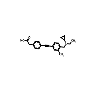 CCN(Cc1ccc(C#Cc2ccc(CC(=O)O)cc2)cc1C)C1CC1